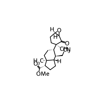 COC(=O)[C@H]1CC[C@H]2[C@H](CC#N)[C@@H]([C@@]3(C)CC[C@H]4O[C@H]4C3=O)CC[C@]12C